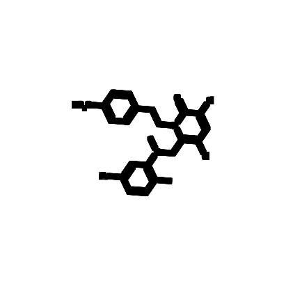 Cc1ccc(C(C)C)cc1N(C)Cc1c(Cl)cc(Cl)c(=O)n1CCc1ccc(C(=O)O)cc1